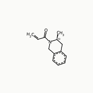 C=CC(=O)N1Cc2ccccc2C[C@@H]1C